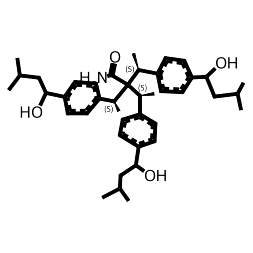 CC(C)CC(O)c1ccc([C@H](C)C(C(N)=O)([C@@H](C)c2ccc(C(O)CC(C)C)cc2)[C@@H](C)c2ccc(C(O)CC(C)C)cc2)cc1